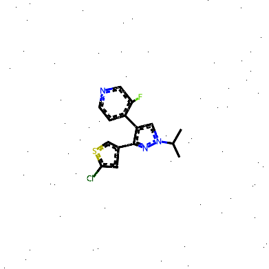 CC(C)n1cc(-c2ccncc2F)c(-c2csc(Cl)c2)n1